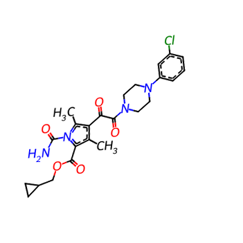 Cc1c(C(=O)C(=O)N2CCN(c3cccc(Cl)c3)CC2)c(C)n(C(N)=O)c1C(=O)OCC1CC1